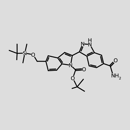 CC(C)(C)OC(=O)n1c(-c2n[nH]c3cc(C(N)=O)ccc23)cc2cc(CO[Si](C)(C)C(C)(C)C)ccc21